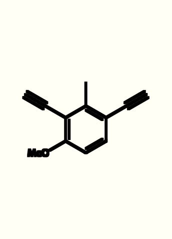 C#Cc1ccc(OC)c(C#C)c1C